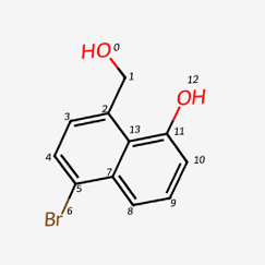 OCc1ccc(Br)c2cccc(O)c12